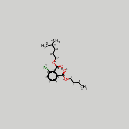 CCCCOC(=O)c1cccc(Br)c1C(=O)OCCCC(C)C